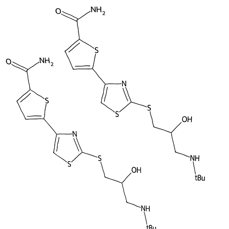 CC(C)(C)NCC(O)CSc1nc(-c2ccc(C(N)=O)s2)cs1.CC(C)(C)NCC(O)CSc1nc(-c2ccc(C(N)=O)s2)cs1